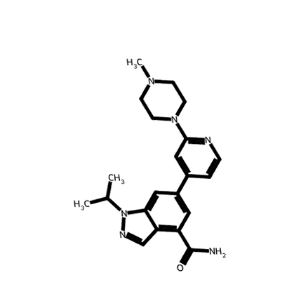 CC(C)n1ncc2c(C(N)=O)cc(-c3ccnc(N4CCN(C)CC4)c3)cc21